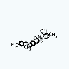 CN1CCN(C2=NC(=O)/C(=C\c3ccc4c(cnn4Cc4ccc(C(F)(F)F)cc4C(F)(F)F)c3)S2)[C@@H](CO)C1